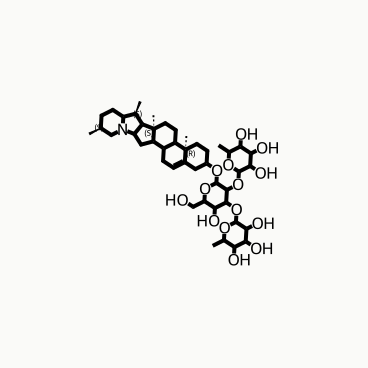 CC1OC(OC2C(OC3CC[C@@]4(C)C(=CCC5C6CC7C([C@H](C)C8CC[C@H](C)CN78)[C@@]6(C)CCC54)C3)OC(CO)C(O)C2OC2OC(C)C(O)C(O)C2O)C(O)C(O)C1O